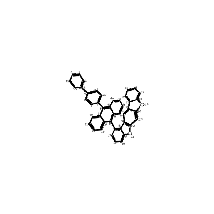 c1ccc(-c2ccc(-c3c4ccccc4c(-c4cccc5oc6cc7oc8ccccc8c7cc6c45)c4ccccc34)cc2)cc1